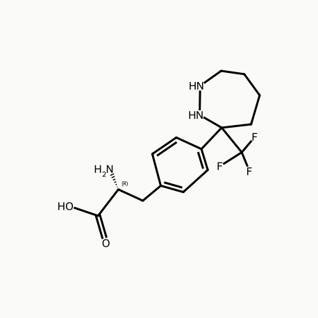 N[C@H](Cc1ccc(C2(C(F)(F)F)CCCCNN2)cc1)C(=O)O